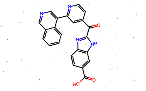 O=C(O)c1ccc2nc(C(=O)c3ccnc(-c4cncc5ccccc45)c3)[nH]c2c1